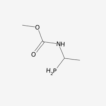 COC(=O)NC(C)P